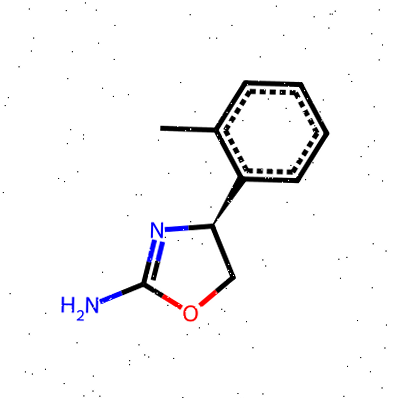 Cc1ccccc1[C@H]1COC(N)=N1